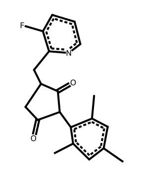 Cc1cc(C)c(C2C(=O)CC(Cc3ncccc3F)C2=O)c(C)c1